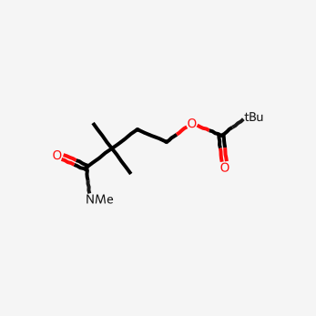 CNC(=O)C(C)(C)CCOC(=O)C(C)(C)C